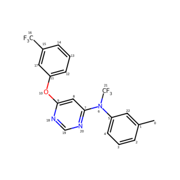 Cc1cccc(N(c2cc(Oc3cccc(C(F)(F)F)c3)ncn2)C(F)(F)F)c1